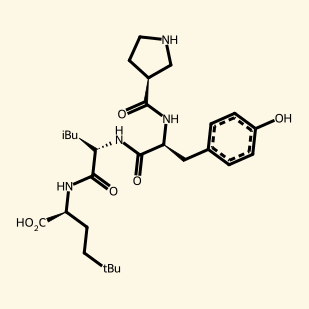 CC[C@H](C)[C@H](NC(=O)[C@H](Cc1ccc(O)cc1)NC(=O)[C@H]1CCNC1)C(=O)N[C@@H](CCC(C)(C)C)C(=O)O